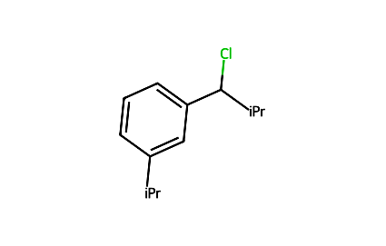 CC(C)c1cccc(C(Cl)C(C)C)c1